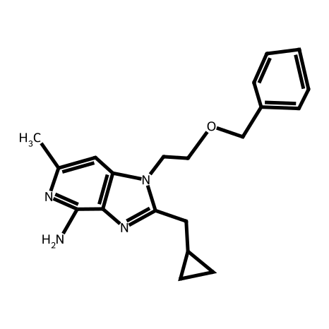 Cc1cc2c(nc(CC3CC3)n2CCOCc2ccccc2)c(N)n1